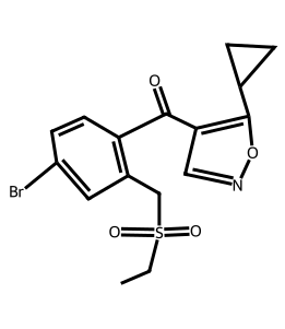 CCS(=O)(=O)Cc1cc(Br)ccc1C(=O)c1cnoc1C1CC1